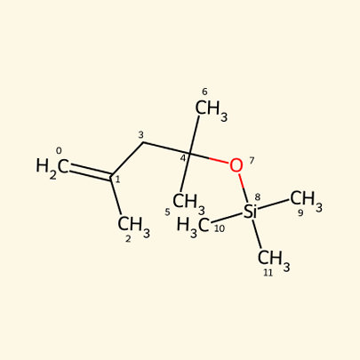 C=C(C)CC(C)(C)O[Si](C)(C)C